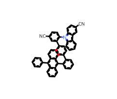 N#Cc1ccc(-n2c3ccccc3c3cc(C#N)ccc32)c(-c2ccc(-c3ccccc3-c3c4ccccc4c(-c4ccccc4)c4ccccc34)cc2)c1